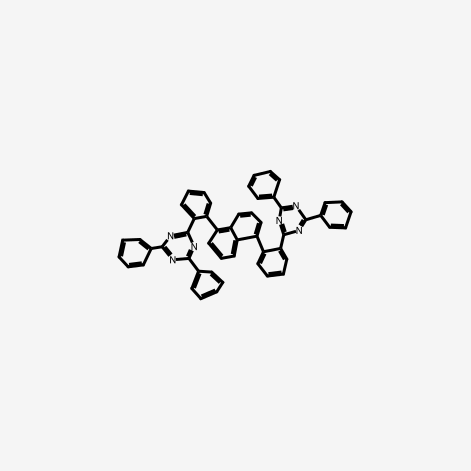 c1ccc(-c2nc(-c3ccccc3)nc(-c3ccccc3-c3cccc4c(-c5ccccc5-c5nc(-c6ccccc6)nc(-c6ccccc6)n5)cccc34)n2)cc1